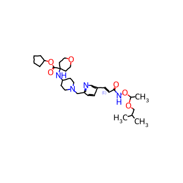 CC(C)COC(C)ONC(=O)/C=C/c1ccc(CN2CCC(NC3(C(=O)OC4CCCC4)CCOCC3)CC2)nc1